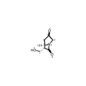 O=C1C[C@@H]2[C@@H](CO)C(=O)N2C1